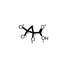 O=C(O)C1(Cl)CC1(Cl)Cl